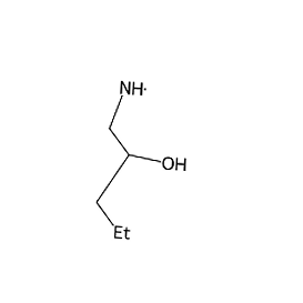 CCCC(O)C[NH]